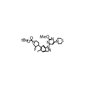 COc1nc(N2CCSCC2)cc(-n2ncc3cc(C)c(C4CCN(C(=O)OC(C)(C)C)CC4F)cc32)n1